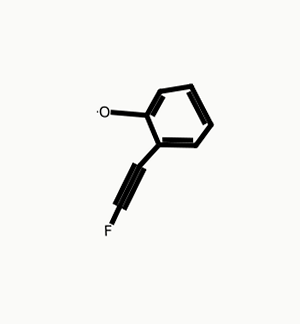 [O]c1ccccc1C#CF